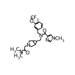 CN(C)C(=O)CN1CC2C(C1)C2CN(Cc1cccc(OC(F)(F)F)c1)C(=O)c1cn(C)cn1